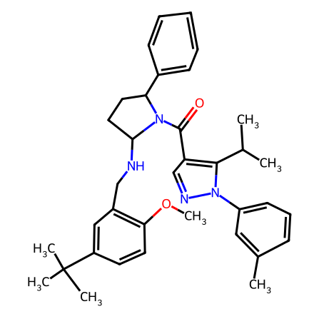 COc1ccc(C(C)(C)C)cc1CNC1CCC(c2ccccc2)N1C(=O)c1cnn(-c2cccc(C)c2)c1C(C)C